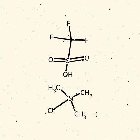 C[Si](C)(C)Cl.O=S(=O)(O)C(F)(F)F